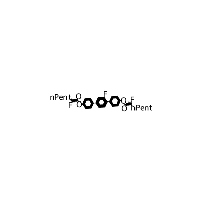 CCCCC[C@H](F)C(=O)O[C@H]1CC[C@H](c2ccc([C@H]3CC[C@H](OC(=O)[C@@H](F)CCCCC)CC3)c(F)c2)CC1